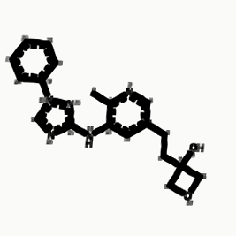 Cc1ncc(CCC2(O)COC2)cc1Nc1ncn(-c2ccccc2)n1